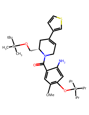 COc1cc(C(=O)N2CC=C(c3ccsc3)C[C@H]2CO[Si](C)(C)C(C)(C)C)c(N)cc1O[Si](C(C)C)(C(C)C)C(C)C